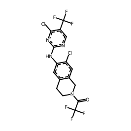 O=C(N1CCc2cc(Nc3ncc(C(F)(F)F)c(Cl)n3)c(Cl)cc2C1)C(F)(F)F